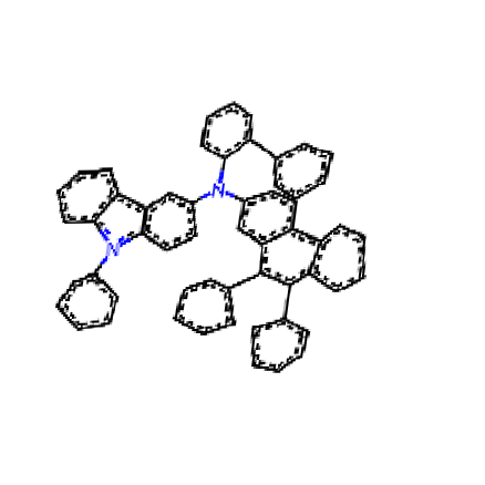 c1ccc(-c2ccccc2N(c2ccc3c(c2)c(-c2ccccc2)c(-c2ccccc2)c2ccccc23)c2ccc3c(c2)c2ccccc2n3-c2ccccc2)cc1